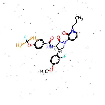 CCCn1cccc(N2C[C@@H](c3ccc(OC)cc3F)[C@H](NC(=O)c3ccc(OC(F)(P)P)cc3)C2=O)c1=O